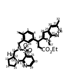 CCOC(=O)CC(c1ccc(C)c(CN2C[C@@H]3CCCN3c3ncccc3S2(=O)=O)c1)c1cc2cc(C)nnc2n1C